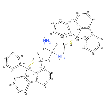 CC(C)(CC(N)(CN)CC(C)(C)SC(c1ccccc1)(c1ccccc1)c1ccccc1)SC(c1ccccc1)(c1ccccc1)c1ccccc1